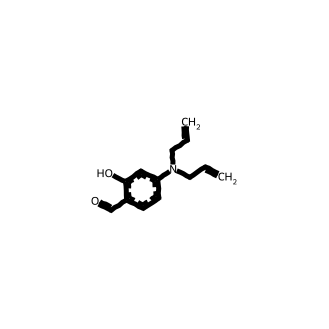 C=CCN(CC=C)c1ccc(C=O)c(O)c1